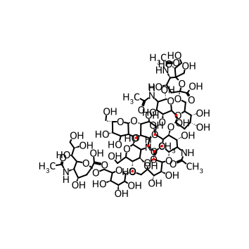 CC(=O)NC1[C@H](OC2[C@@H](OCC3O[C@@H](O[C@@H]4C(CO)O[C@@H](O)C(NC(C)=O)[C@H]4O)C(O)[C@@H](O[C@H]4O[C@@H](CO)[C@@H](O)C(O)C4O[C@@H]4OC(CO)[C@@H](O[C@@H]5OC(CO[C@]6(C(=O)O)C[C@@H](O)[C@@H](NC(C)=O)C([C@H](O)[C@H](O)CO)O6)[C@H](O)[C@H](O)C5O)[C@H](O)C4NC(C)=O)[C@@H]3O)OC(CO)[C@@H](O)[C@@H]2O)OC(CO)[C@@H](O[C@H]2C[C@@H](O)[C@@H](O)C(CO[C@]3(C(=O)O)C[C@@H](O)[C@@H](NC(C)=O)C(CO)([C@H](O)CO)O3)O2)[C@@H]1O